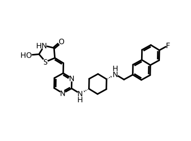 O=C1NC(O)S/C1=C\c1ccnc(N[C@H]2CC[C@@H](NCc3ccc4cc(F)ccc4c3)CC2)n1